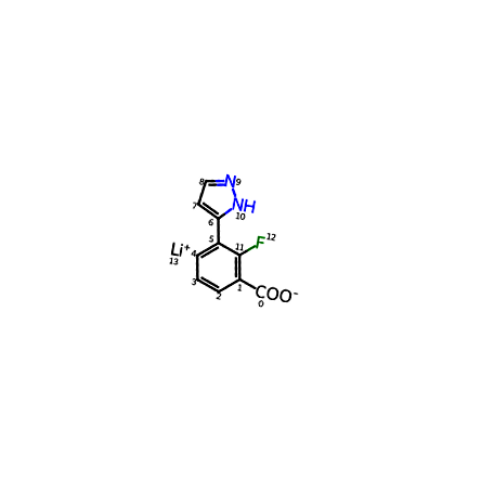 O=C([O-])c1cccc(-c2ccn[nH]2)c1F.[Li+]